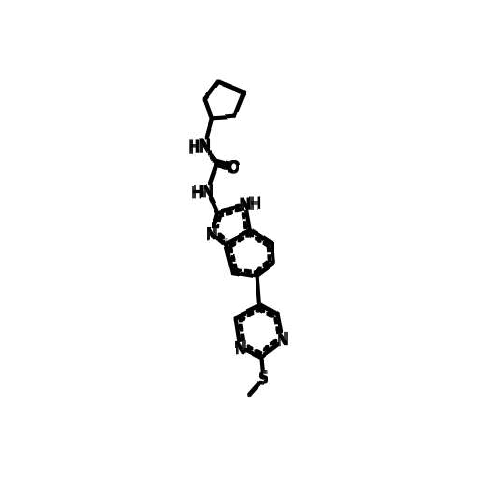 CSc1ncc(-c2ccc3[nH]c(NC(=O)NC4CCCC4)nc3c2)cn1